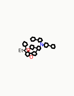 CCC1c2ccc3oc4ccc(-c5ccc(N(c6ccc(-c7ccccc7)cc6)c6cccc(-c7ccccc7)c6)cc5-c5ccccc5)cc4c3c2OC1c1ccccc1